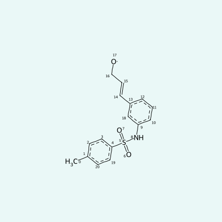 Cc1ccc(S(=O)(=O)Nc2cccc(C=CC[O])c2)cc1